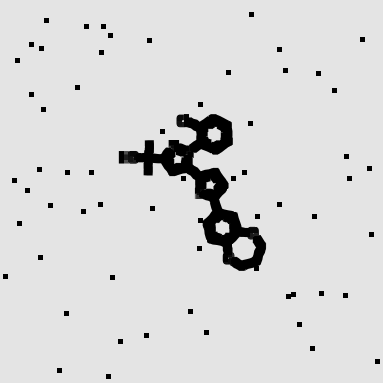 CC(C)(O)c1cc(-c2ccc(-c3ccc4c(c3)OCCCO4)s2)n(-c2ccccc2Cl)n1